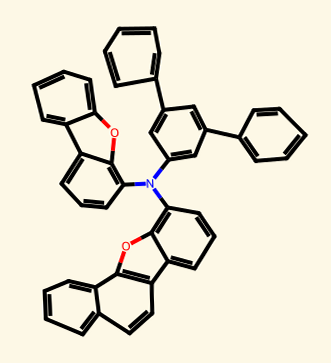 c1ccc(-c2cc(-c3ccccc3)cc(N(c3cccc4c3oc3ccccc34)c3cccc4c3oc3c5ccccc5ccc43)c2)cc1